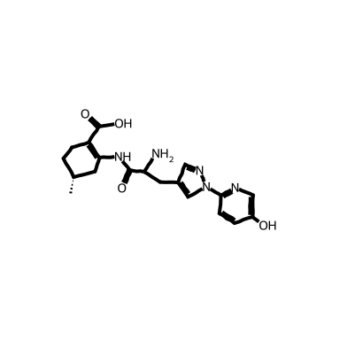 C[C@@H]1CCC(C(=O)O)=C(NC(=O)C(N)Cc2cnn(-c3ccc(O)cn3)c2)C1